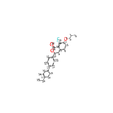 CCCOc1ccc2cc(-c3ccc(-c4ccc(CC)cc4)cc3)oc(=O)c2c1F